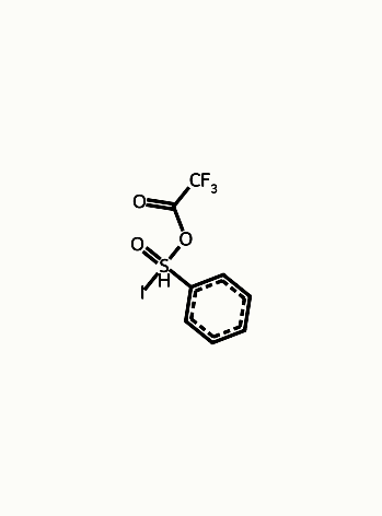 O=C(O[SH](=O)(I)c1ccccc1)C(F)(F)F